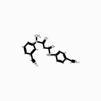 CN(C(=O)CC(=O)Nc1ccc(C#N)cc1)c1cccc(C#N)c1